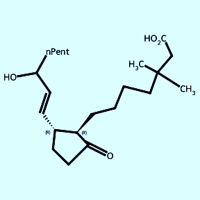 CCCCCC(O)C=C[C@H]1CCC(=O)[C@@H]1CCCCC(C)(C)CC(=O)O